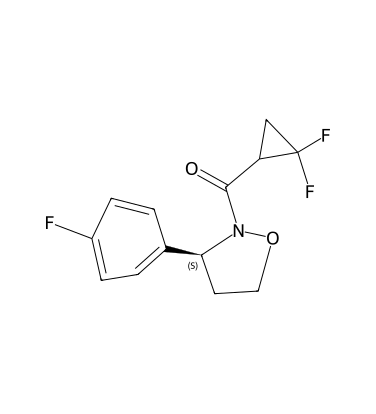 O=C(C1CC1(F)F)N1OCC[C@H]1c1ccc(F)cc1